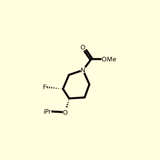 COC(=O)N1CC[C@H](OC(C)C)[C@H](F)C1